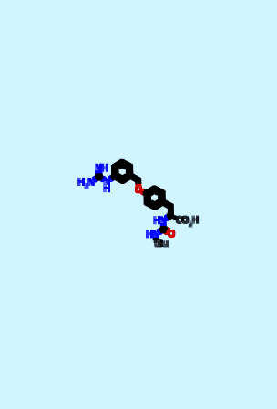 CC(C)(C)NC(=O)N[C@@H](Cc1ccc(OCc2cccc(NC(=N)N)c2)cc1)C(=O)O